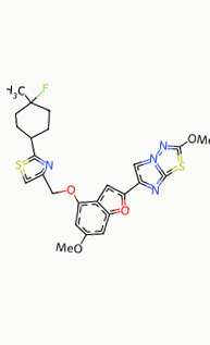 COc1cc(OCc2csc(C3CCC(C)(F)CC3)n2)c2cc(-c3cn4nc(OC)sc4n3)oc2c1